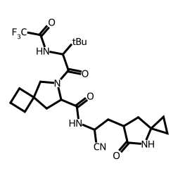 CC(C)(C)C(NC(=O)C(F)(F)F)C(=O)N1CC2(CCC2)CC1C(=O)NC(C#N)CC1CC2(CC2)NC1=O